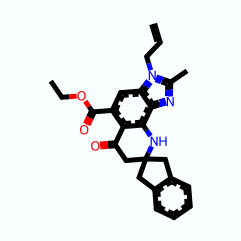 C=CCn1c(C)nc2c3c(c(C(=O)OCC)cc21)C(=O)CC1(Cc2ccccc2C1)N3